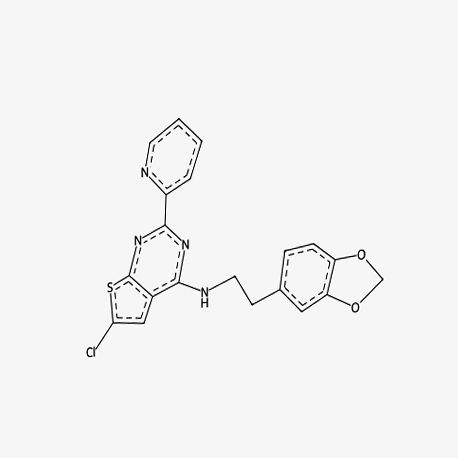 Clc1cc2c(NCCc3ccc4c(c3)OCO4)nc(-c3ccccn3)nc2s1